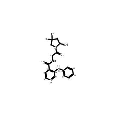 N#CC1CC(F)(F)CN1C(=O)CNC(=O)c1ccncc1Nc1ccccc1